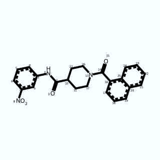 O=C(Nc1cccc([N+](=O)[O-])c1)C1CCN(C(=O)c2cccc3ccccc23)CC1